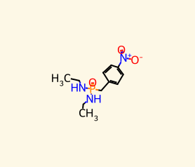 CCNP(=O)(Cc1ccc([N+](=O)[O-])cc1)NCC